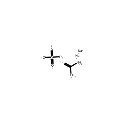 CC(N)=S.O=S([O-])([O-])=S.[Na+].[Na+]